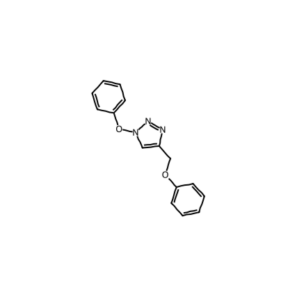 c1ccc(OCc2cn(Oc3ccccc3)nn2)cc1